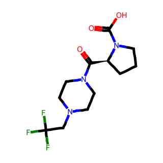 O=C([C@@H]1CCCN1C(=O)O)N1CCN(CC(F)(F)F)CC1